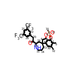 Cc1ccc(C2(CCOS(C)(=O)=O)CCCNC(C(=O)Cc3cc(C(F)(F)F)cc(C(F)(F)F)c3)C2)cc1C